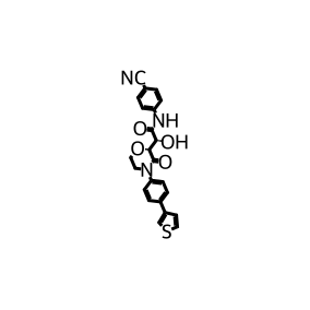 N#Cc1ccc(NC(=O)[C@H](O)[C@H]2OCCN(c3ccc(-c4ccsc4)cc3)C2=O)cc1